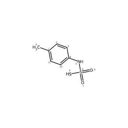 Cc1ccc(NS(=O)(=O)S)cc1